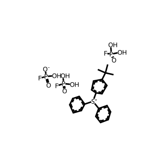 CC(C)(C)c1ccc([S+](c2ccccc2)c2ccccc2)cc1.O=P(O)(O)F.O=P(O)(O)F.O=P([O-])(O)F